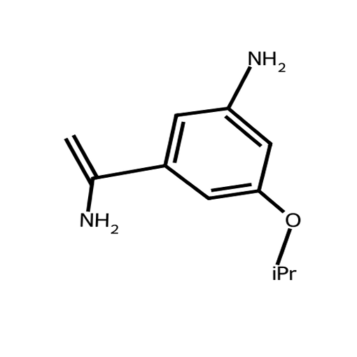 C=C(N)c1cc(N)cc(OC(C)C)c1